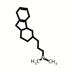 CN(C)CCCC1CCC2CC3=C(CC=CC3)C2C1